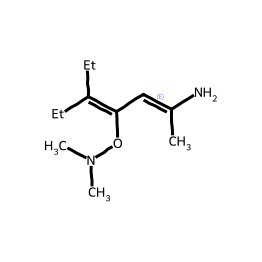 CCC(CC)=C(/C=C(\C)N)ON(C)C